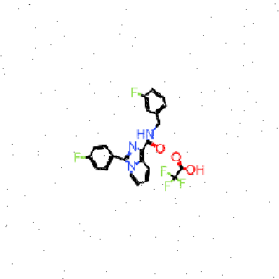 O=C(NCc1cccc(F)c1)c1nc(-c2ccc(F)cc2)n2ccccc12.O=C(O)C(F)(F)F